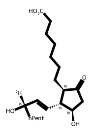 [2H][C@@](O)(C=C[C@H]1[C@H](O)CC(=O)[C@@H]1CCCCCCC(=O)O)CCCCC